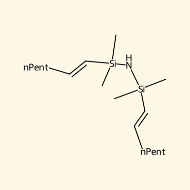 CCCCCC=C[Si](C)(C)N[Si](C)(C)C=CCCCCC